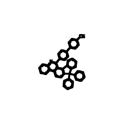 N#Cc1ccc(-c2ccc(-c3nc4ccccc4c4ccc5c(c34)-c3ccccc3C5(c3ccccc3)c3ccccc3)cc2)cc1